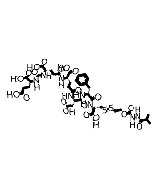 CC(C)C(=O)NNC(=O)OCCSSC[C@@H](NC(=O)[C@@H](Cc1ccccc1)NC(=O)[C@H](CC(=O)O)NC(=O)CC[C@H](NC(=O)CC[C@H](NC(=O)N[C@@H](CCC(=O)O)C(=O)O)C(=O)O)C(=O)O)C(=O)O